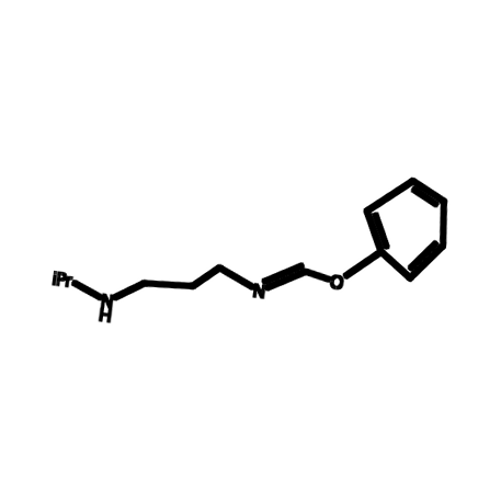 CC(C)NCCCN=COc1ccccc1